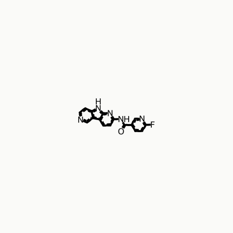 O=C(Nc1ccc2c(n1)[nH]c1ccncc12)c1ccc(F)nc1